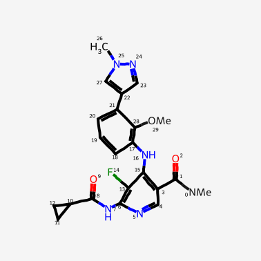 CNC(=O)c1cnc(NC(=O)C2CC2)c(F)c1Nc1cccc(-c2cnn(C)c2)c1OC